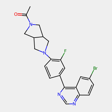 CC(=O)N1CC2CN(c3ccc(-c4ncnc5ccc(Br)cc45)cc3F)CC2C1